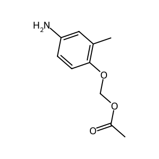 CC(=O)OCOc1ccc(N)cc1C